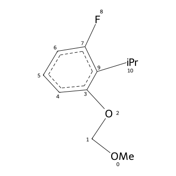 COCOc1cccc(F)c1C(C)C